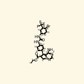 CCOC(=O)c1cn2ncnc(N)c2c1-c1ccc(NC(=O)Nc2ccc(Br)c(C(F)(F)F)c2)cc1